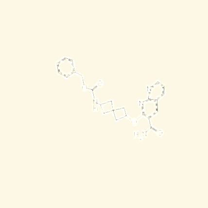 NC(=O)c1cc2cccnc2nc1OC1CC2(CC(NC(=O)OCc3ccccc3)C2)C1